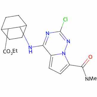 CCOC(=O)C1C2CCC(CC2)C1Nc1nc(Cl)nn2c(C(=O)NC)ccc12